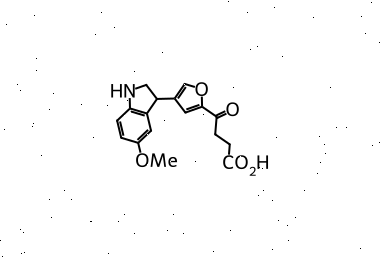 COc1ccc2c(c1)C(c1coc(C(=O)CCC(=O)O)c1)CN2